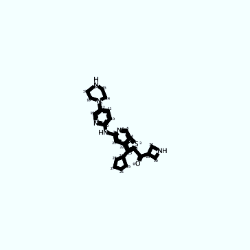 O=C(c1sc2cnc(Nc3ccc(N4CCNCC4)cn3)cc2c1C1CCCC1)C1CNC1